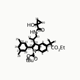 CCOC(=O)C(C)(C)c1ccc2c(c1)c(C(C)CNC(=O)C1(O)CC1)c(-c1cc(C)cc(C)c1)n2C(=O)OC(C)(C)C